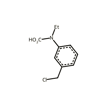 CCN(C(=O)O)c1cccc(CCl)c1